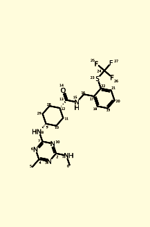 CNc1nc(C)nc(N[C@H]2CC[C@@H](C(=O)NCc3ccccc3SC(F)(F)F)CC2)n1